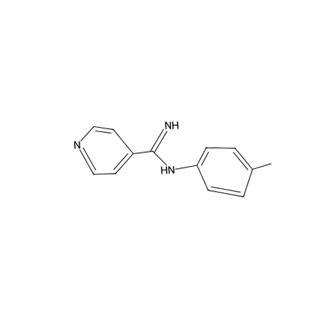 Cc1ccc(NC(=N)c2ccncc2)cc1